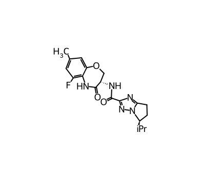 Cc1cc(F)c2c(c1)OC[C@H](NC(=O)c1nc3n(n1)[C@H](C(C)C)CC3)C(=O)N2